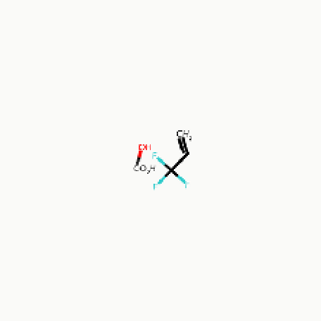 C=CC(F)(F)F.O=C(O)O